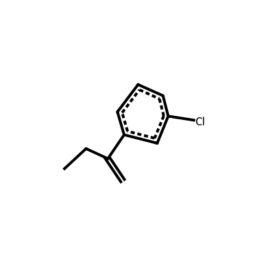 C=C(CC)c1cccc(Cl)c1